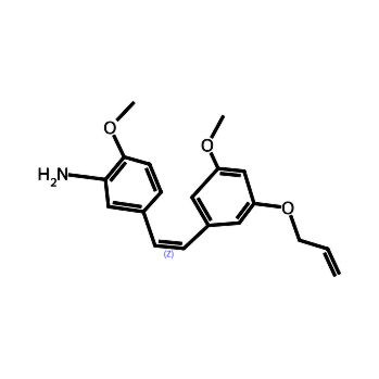 C=CCOc1cc(/C=C\c2ccc(OC)c(N)c2)cc(OC)c1